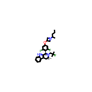 CCCC(C)N1CC(Oc2cc(F)c([C@@H]3c4[nH]c5ccccc5c4C[C@@H](C)N3CC(C)(C)F)c(F)c2)C1